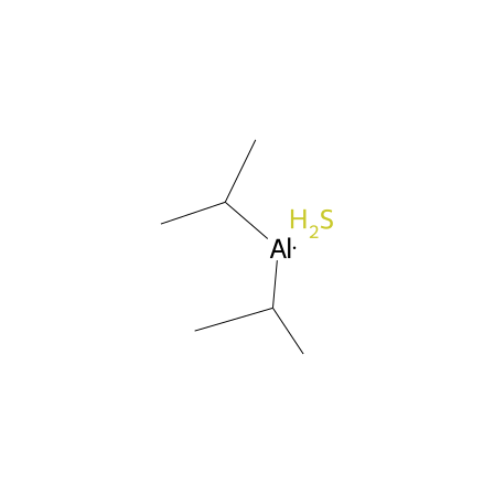 C[CH](C)[Al][CH](C)C.S